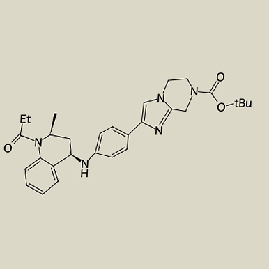 CCC(=O)N1c2ccccc2[C@H](Nc2ccc(-c3cn4c(n3)CN(C(=O)OC(C)(C)C)CC4)cc2)C[C@@H]1C